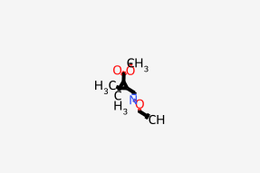 C#CCON=CC1C(C(=O)OC)C1(C)C